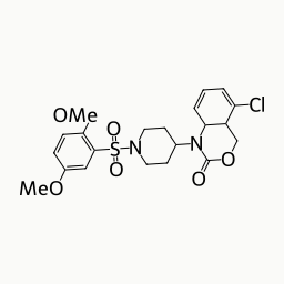 COc1ccc(OC)c(S(=O)(=O)N2CCC(N3C(=O)OCC4C(Cl)=CC=CC43)CC2)c1